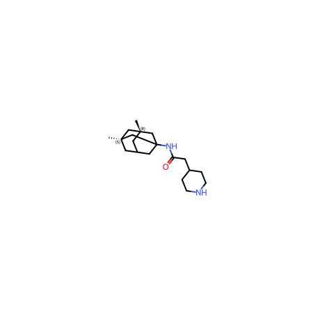 C[C@]12CC3CC(NC(=O)CC4CCNCC4)(C1)C[C@@](C)(C3)C2